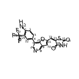 Nc1ccc(-c2cncc3cc(C=C4SC(=O)NC4=O)oc23)cc1C(F)(F)F